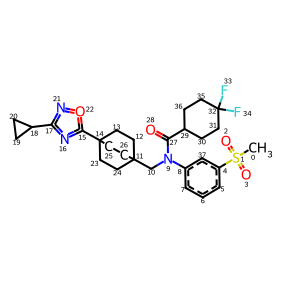 CS(=O)(=O)c1cccc(N(CC23CCC(c4nc(C5CC5)no4)(CC2)CC3)C(=O)C2CCC(F)(F)CC2)c1